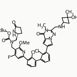 COc1nc(-c2cccc(-c3cccc(-c4cc5c(=O)n(C)c(CNC6CC(C)(O)C6)nn5c4)c3Cl)c2Cl)cc(F)c1CN(C[C@@H]1CCC(=O)N1)C(=O)OC(C)(C)C